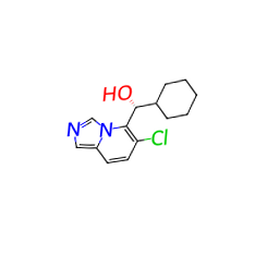 O[C@@H](c1c(Cl)ccc2cncn12)C1CCCCC1